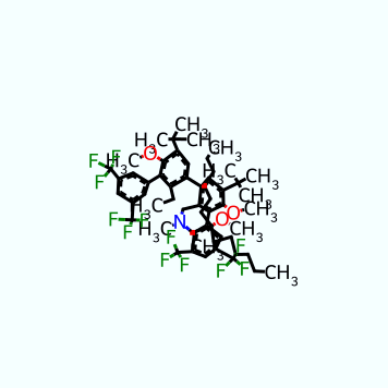 CCCCCCC(CCCCCC)(OC)[C@H](C)N(C)Cc1c(-c2cc(C(C)(C)C)c(OC)c(-c3cc(C(F)(F)F)cc(C(F)(F)F)c3)c2CC)cc(C(C)(C)C)c(OC)c1-c1cc(C(F)(F)F)cc(C(F)(F)F)c1